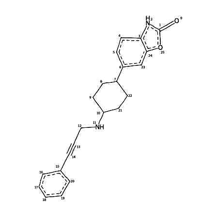 O=c1[nH]c2ccc(C3CCC(NCC#Cc4ccccc4)CC3)cc2o1